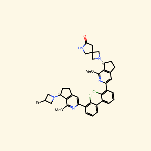 CCC1CN([C@H]2CCc3cc(-c4cccc(-c5cccc(-c6cc7c(c(OC)n6)[C@H](N6CC8(CNC(=O)C8)C6)CC7)c5Cl)c4Cl)nc(OC)c32)C1